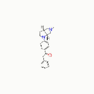 CN1C[C@H]2CCN(c3ccc(C(=O)Cc4ccccc4)cc3)[C@H]2C1